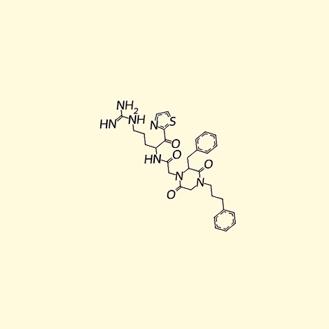 N=C(N)NCCCC(NC(=O)CN1C(=O)CN(CCCc2ccccc2)C(=O)C1Cc1ccccc1)C(=O)c1nccs1